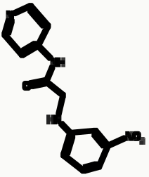 O=C(CNc1cccc([N+](=O)[O-])c1)Nc1ccncc1